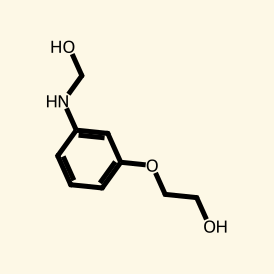 OCCOc1cccc(NCO)c1